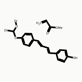 C=CC(=O)OC.CCOC(CC)Oc1ccc(C=CC=Cc2ccc(O)cc2)cc1